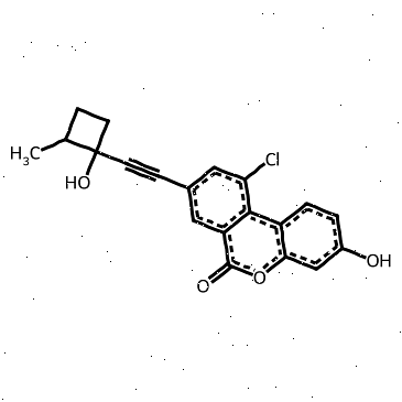 CC1CCC1(O)C#Cc1cc(Cl)c2c(c1)c(=O)oc1cc(O)ccc12